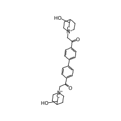 O=C(C[N+]12CCC(CC1)C(O)C2)c1ccc(-c2ccc(C(=O)C[N+]34CCC(CC3)C(O)C4)cc2)cc1